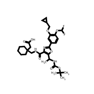 CC(NC(=O)OC(C)(C)C)c1oc(-c2ccc(OC(F)F)c(OCC3CC3)c2)nc1C(=O)NCC1(CC(=O)O)CCCCC1